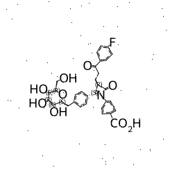 O=C(O)c1ccc(N2C(=O)[C@H](CCC(=O)c3ccc(F)cc3)[C@H]2c2ccc(C[C@@H]3O[C@H](CO)[C@@H](O)[C@H](O)[C@H]3O)cc2)cc1